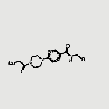 CCC(C)CNC(=O)c1ccc(N2CCN(C(=O)CC(C)CC)CC2)nc1